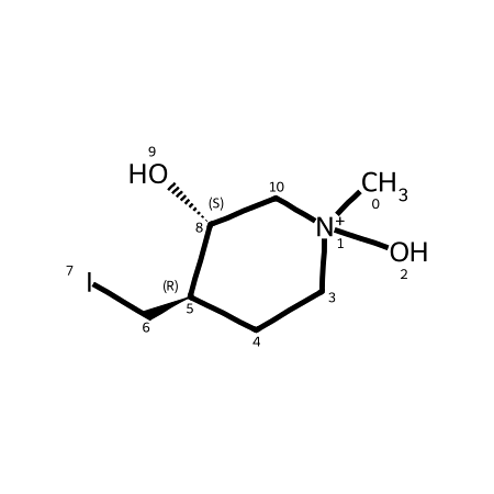 C[N+]1(O)CC[C@@H](CI)[C@H](O)C1